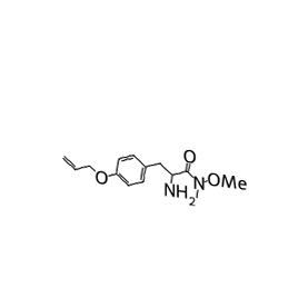 C=CCOc1ccc(CC(N)C(=O)N(C)OC)cc1